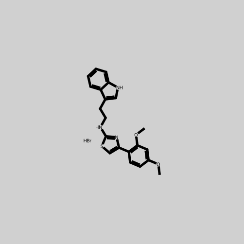 Br.COc1ccc(-c2csc(NCCc3c[nH]c4ccccc34)n2)c(OC)c1